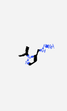 CC(C)n1nccc1CNN=N